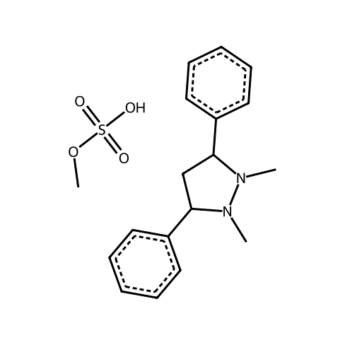 CN1C(c2ccccc2)CC(c2ccccc2)N1C.COS(=O)(=O)O